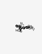 Cc1nn(-c2ccccc2)c2nc(C(=O)O)cc(-c3ccc(N4CCN(C(C)(C)C)CC4)cc3)c12